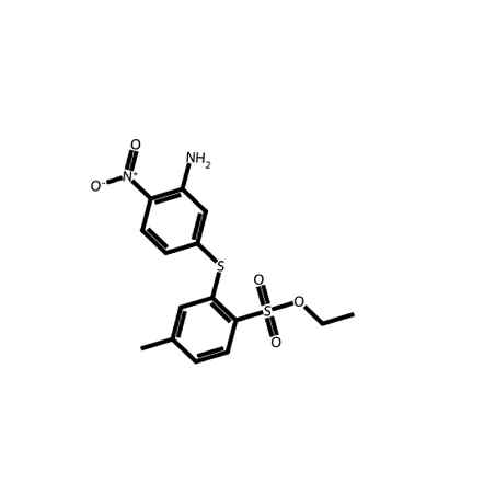 CCOS(=O)(=O)c1ccc(C)cc1Sc1ccc([N+](=O)[O-])c(N)c1